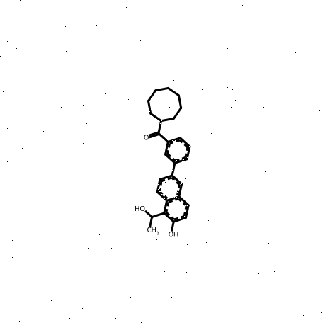 CC(O)c1c(O)ccc2cc(-c3cccc(C(=O)C4CCCCCCC4)c3)ccc12